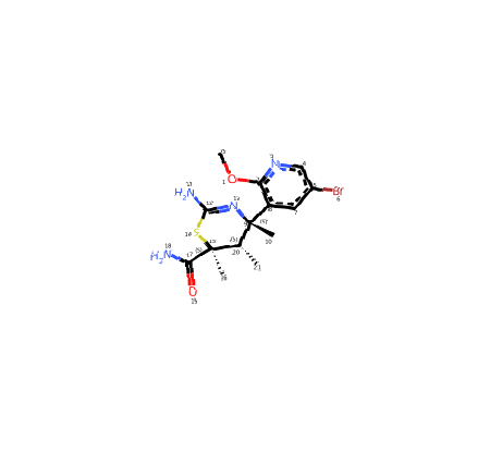 COc1ncc(Br)cc1[C@@]1(C)N=C(N)S[C@](C)(C(N)=O)[C@H]1C